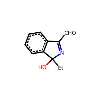 CCC1(O)N=C(C=O)c2ccccc21